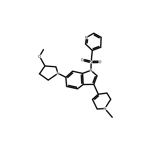 COC1CCN(c2ccc3c(C4=CCN(C)CC4)cn(S(=O)(=O)c4cccnc4)c3c2)C1